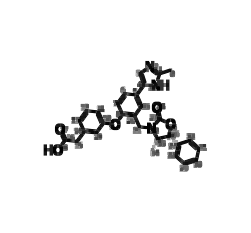 Cc1ncc(-c2ccc(Oc3cccc(CC(=O)O)c3)c(CN3C(=O)O[C@H](c4ccccc4)[C@@H]3C)c2)[nH]1